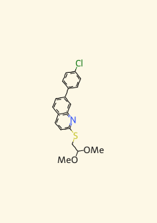 COC(CSc1ccc2ccc(-c3ccc(Cl)cc3)cc2n1)OC